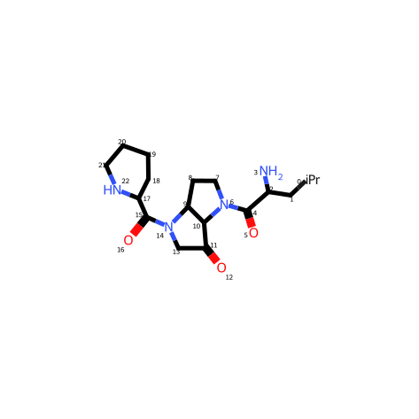 CC(C)CC(N)C(=O)N1CCC2C1C(=O)CN2C(=O)C1CCCCN1